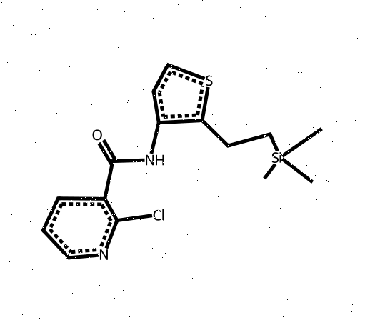 C[Si](C)(C)CCc1sccc1NC(=O)c1cccnc1Cl